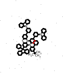 CC(C)(C)c1ccc(N2c3ccc(-c4cccc(-n5c6ccccc6c6ccccc65)c4)cc3B3c4cc(-c5cccc(-n6c7ccccc7c7ccccc76)c5)ccc4Sc4cc(C5(c6ccccc6)c6ccccc6-c6ccccc65)cc2c43)c(-c2ccccc2)c1